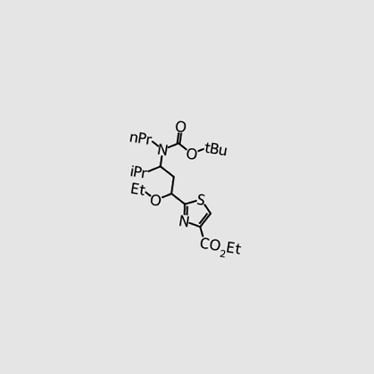 CCCN(C(=O)OC(C)(C)C)C(CC(OCC)c1nc(C(=O)OCC)cs1)C(C)C